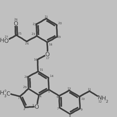 Cc1coc2c(-c3cccc(CN)c3)cc(COc3ccccc3CC(=O)O)cc12